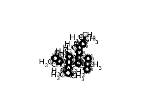 Cc1cc2c3c(c1)N(c1ccc4c(c1)C(C)(C)CCC4(C)C)c1cc4c(cc1B3c1ccc(N(c3ccccc3C)c3ccccc3C)cc1N2c1ccc2c(c1)C(C)(C)c1cc(C(C)(C)C)ccc1-2)C(C)(C)CCC4(C)C